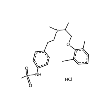 Cc1cccc(C)c1OCC(C)N(C)CCc1ccc(NS(C)(=O)=O)cc1.Cl